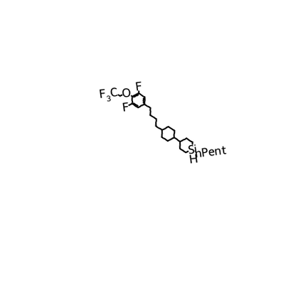 CCCCC[SiH]1CCC(C2CCC(CCCCc3cc(F)c(OCC(F)(F)F)c(F)c3)CC2)CC1